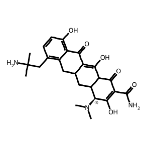 CN(C)[C@@H]1C(O)=C(C(N)=O)C(=O)C2C(O)=C3C(=O)c4c(O)ccc(CC(C)(C)N)c4CC3CC21